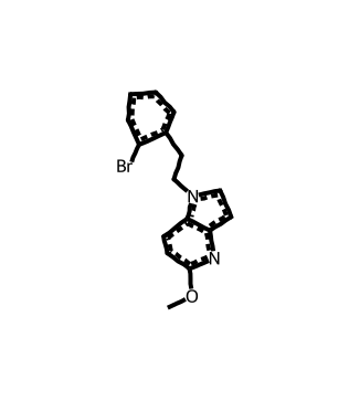 COc1ccc2c(ccn2CCc2ccccc2Br)n1